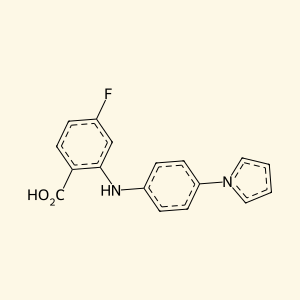 O=C(O)c1ccc(F)cc1Nc1ccc(-n2cccc2)cc1